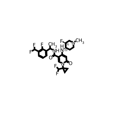 CC(NC(=O)c1cn(C2(C(F)F)CC2)c(=O)cc1N[C@H]1CCN(C)C[C@@H]1F)c1cccc(C(F)F)c1F